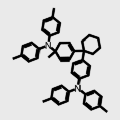 Cc1ccc(N(c2ccc(C)cc2)c2ccc(C3(C4=CCC(C)(N(c5ccc(C)cc5)c5ccc(C)cc5)C#C4)CCCCC3)cc2)cc1